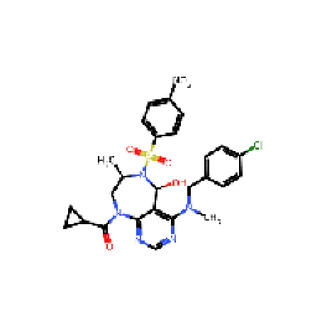 C[C@@H]1CN(C(=O)C2CC2)c2ncnc(N(C)Cc3ccc(Cl)cc3)c2[C@H](O)N1S(=O)(=O)c1ccc([N+](=O)[O-])cc1